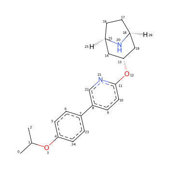 CC(C)Oc1ccc(-c2ccc(O[C@@H]3C[C@H]4CC[C@@H](C3)N4)nc2)cc1